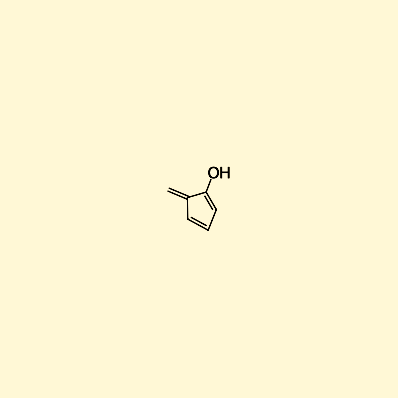 C=C1C=CC=C1O